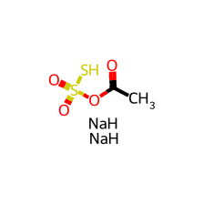 CC(=O)OS(=O)(=O)S.[NaH].[NaH]